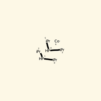 CC(C)PC(C)C.CC(C)PC(C)C.[Co]